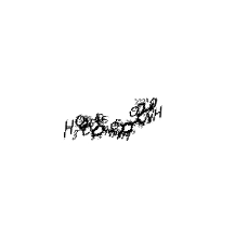 CC1(Oc2ccc(NC(=O)Nc3ccc(-c4c[nH]c(=O)c5c4OCC5)cc3F)cc2C(F)(F)F)COC1